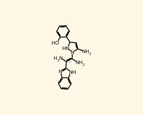 NC1=CC(c2ccccc2O)NN1/C(N)=C(\N)c1nc2ccccc2[nH]1